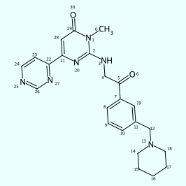 Cn1c(NCC(=O)c2cccc(CN3CCCCC3)c2)nc(-c2ccncn2)cc1=O